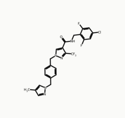 Cc1cnn(Cc2ccc(Cn3cc(C(=O)NCc4c(F)cc(Cl)cc4F)c(C(F)(F)F)n3)cc2)c1